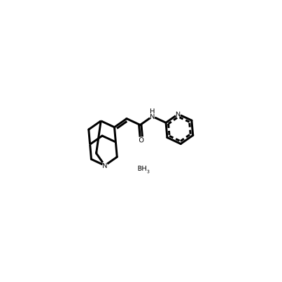 B.O=C(C=C1C2CC3CC1CN(C3)C2)Nc1ccccn1